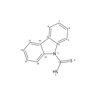 S=C(S)n1c2ccccc2c2ccccc21